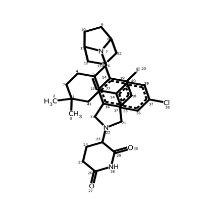 CC1(C)CCC(CN2C3CCC2CN(c2cc4c(cc2F)CN(C2CCC(=O)NC2=O)C4)C3)=C(c2ccc(Cl)cc2)C1